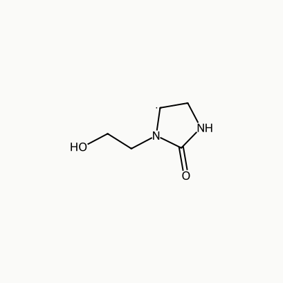 O=C1NC[CH]N1CCO